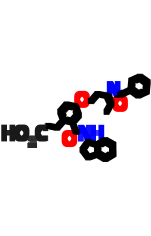 Cc1oc(-c2ccccc2)nc1CCOc1ccc(CCC(=O)O)c(C(=O)NC2CCc3ccccc32)c1